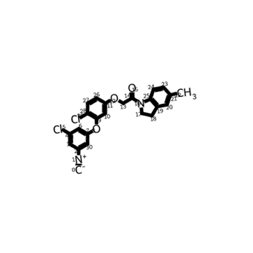 [C-]#[N+]c1cc(Cl)cc(Oc2cc(OCC(=O)N3CCc4cc(C)ccc43)ccc2Cl)c1